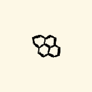 [c]1cc2[c]cc3cccc4ccc(c1)c2c34